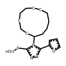 CCCCCCCCSc1nnc(-c2ccco2)n1C1CCCCCCCCCCC1